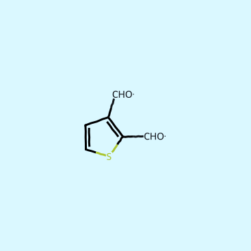 O=[C]c1ccsc1[C]=O